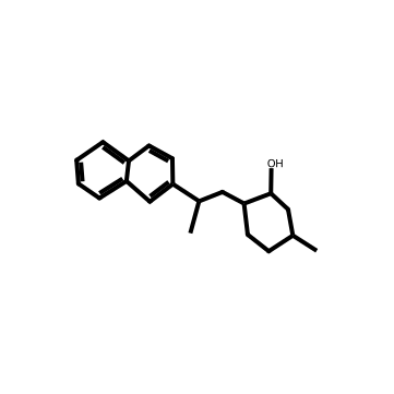 CC1CCC(CC(C)c2ccc3ccccc3c2)C(O)C1